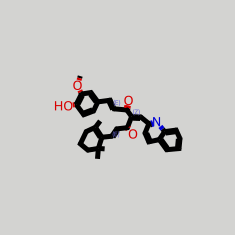 COc1cc(/C=C/C(=O)/C(=C/c2ccc3ccccc3n2)C(=O)/C=C/C2=C(C)CCCC2(C)C)ccc1O